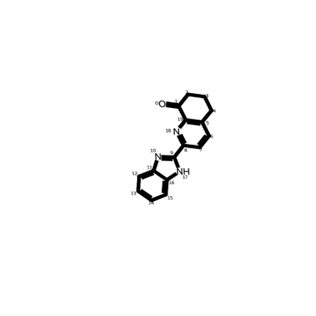 O=C1CCCc2ccc(-c3nc4ccccc4[nH]3)nc21